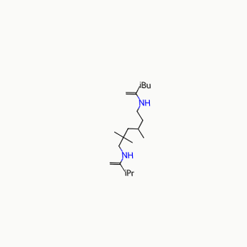 C=C(NCC(C)(C)CC(C)CCNC(=C)C(C)CC)C(C)C